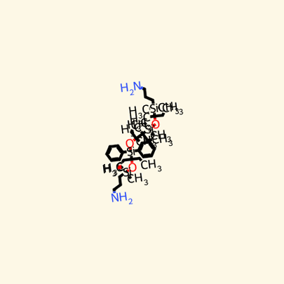 CCC(C)(O[Si](c1ccccc1)(c1ccccc1)C(CC)(CC)O[Si](C)(C)CCCN)C(C)(CC)[Si](C)(C)OC(C)(CC)[Si](C)(C)CCCN